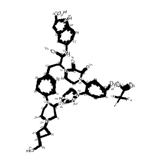 O=C(O)C(F)(F)F.O=C(O)c1cc2cc(NC(=O)C(Cc3ccc(N4CCN(C5CC(CO)C5)CC4=O)cc3)N3CCN(c4cc(Cl)ccc4-n4cnnn4)C(=O)C3=O)ccc2[nH]1